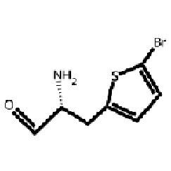 N[C@@H](C=O)Cc1ccc(Br)s1